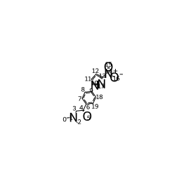 CN(C)CC(=O)c1ccc(-n2ccc([N+](=O)[O-])n2)cc1